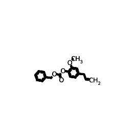 C=CCc1ccc(OC(=O)OCc2ccccc2)c(OC)c1